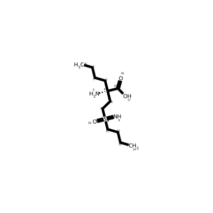 CCCC[C@](N)(CCS(=N)(=O)CCCC)C(=O)O